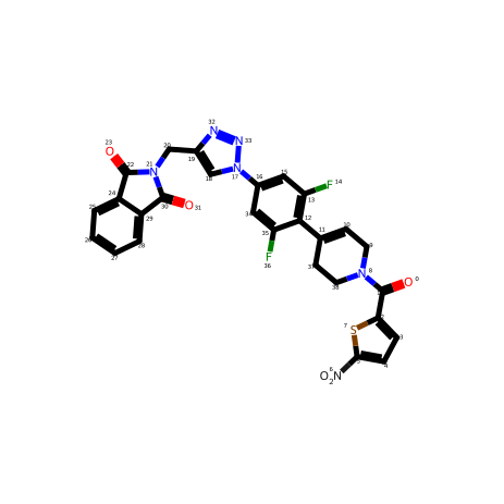 O=C(c1ccc([N+](=O)[O-])s1)N1CC=C(c2c(F)cc(-n3cc(CN4C(=O)c5ccccc5C4=O)nn3)cc2F)CC1